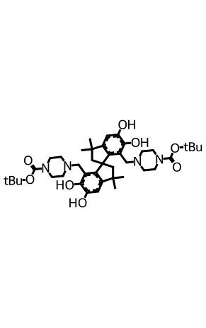 CC(C)(C)OC(=O)N1CCN(Cc2c(O)c(O)cc3c2C2(CC3(C)C)CC(C)(C)c3cc(O)c(O)c(CN4CCN(C(=O)OC(C)(C)C)CC4)c32)CC1